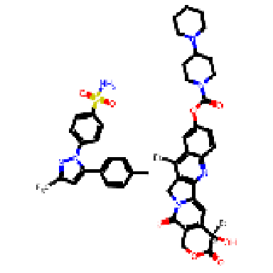 CCc1c2c(nc3ccc(OC(=O)N4CCC(N5CCCCC5)CC4)cc13)-c1cc3c(c(=O)n1C2)COC(=O)[C@]3(O)CC.Cc1ccc(-c2cc(C(F)(F)F)nn2-c2ccc(S(N)(=O)=O)cc2)cc1